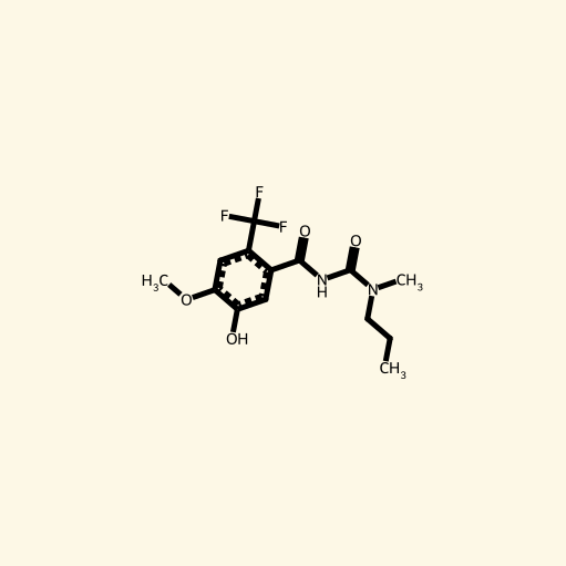 CCCN(C)C(=O)NC(=O)c1cc(O)c(OC)cc1C(F)(F)F